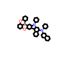 c1ccc(N(c2ccc3ccccc3c2)c2cc3c(c4ccccc24)c2cc4c(cc2n3-c2ccccc2)B2c3ccccc3Oc3cccc(c32)O4)cc1